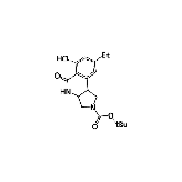 CCc1cc(O)c2c(c1)C1CN(C(=O)OC(C)(C)C)CC1NC2=O